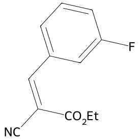 CCOC(=O)/C(C#N)=C\c1cccc(F)c1